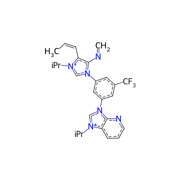 C=Nc1c(/C=C\C)[n+](C(C)C)cn1-c1cc(-n2c[n+](C(C)C)c3cccnc32)cc(C(F)(F)F)c1